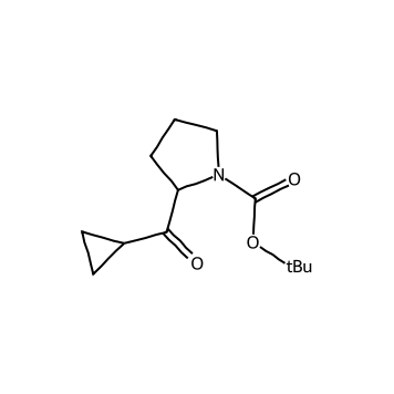 CC(C)(C)OC(=O)N1CCCC1C(=O)C1CC1